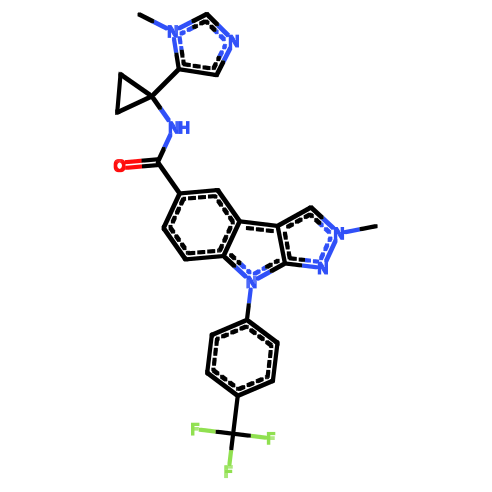 Cn1cc2c3cc(C(=O)NC4(c5cncn5C)CC4)ccc3n(-c3ccc(C(F)(F)F)cc3)c2n1